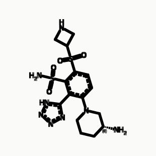 N[C@@H]1CCCN(c2ccc(S(=O)(=O)C3CNC3)c(S(N)(=O)=O)c2-c2nnn[nH]2)C1